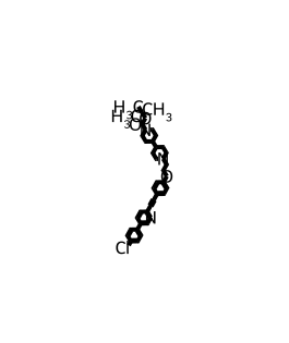 CC(C)(C)OC(=O)N1CCC(C2CCN(CCOc3ccc(C#Cc4ccc(-c5ccc(Cl)cc5)cn4)cc3)CC2)CC1